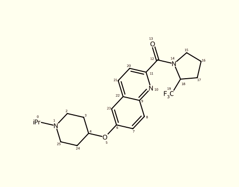 CC(C)N1CCC(Oc2ccc3nc(C(=O)N4CCCC4C(F)(F)F)ccc3c2)CC1